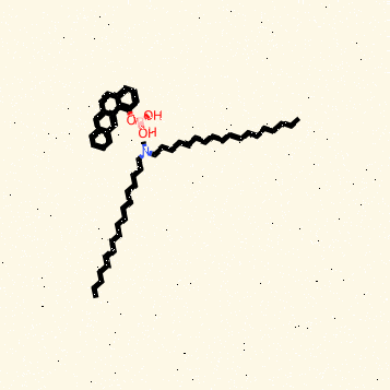 CCCCCCCCCCCCCCCCCCN(C)CCCCCCCCCCCCCCCCCC.OB(O)Oc1cccc2ccc3cc4ccccc4cc3c12